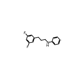 Fc1cc(F)cc(CCCNc2cc[c]cc2)c1